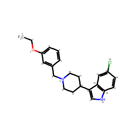 FC(F)(F)COc1cccc(CN2CCC(c3c[nH]c4ccc(Cl)cc34)CC2)c1